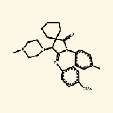 COc1ccc(N=C2C(N3CCN(C)CC3)C3(CCCCC3)C(=O)N2c2ccc(C)cc2)cc1